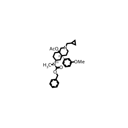 COc1cccc([C@@]23CCN(CC4CC4)C[C@@]2(OC(C)=O)CC[C@H](N(C)C(=O)OCc2ccccc2)C3)c1